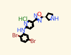 Brc1ccc(Br)c(Nc2ccc(-c3noc([C@@H]4CCNC4)n3)cn2)c1.Cl